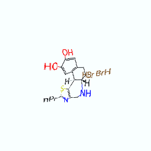 Br.Br.CCCc1nc2c(s1)[C@H]1c3cc(O)c(O)cc3CC[C@@H]1NC2